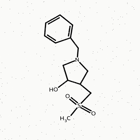 CS(=O)(=O)CC1CN(Cc2ccccc2)CC1O